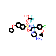 NC1CCN(C(=O)C(NS(=O)(=O)c2ccc3cc(OC4CCCC4)ccc3c2)C(F)(F)c2ccc(Cl)c(OC3CC3)c2)CC1.O=C(O)C(F)(F)F